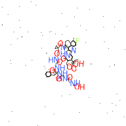 CC[C@@]1(O)C(=O)OCc2c1cc1n(c2=O)Cc2c-1nc1cc(F)c(C)c3c1c2[C@@H](NC(=O)C1(COCNC(=O)CNC(=O)[C@H](Cc2ccccc2)NC(=O)CNC(=O)CNCO)CC1)CC3